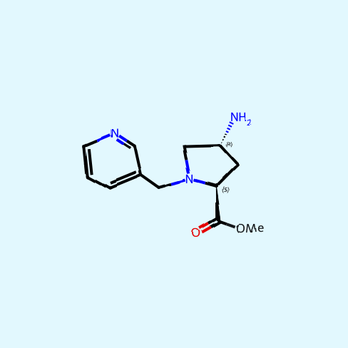 COC(=O)[C@@H]1C[C@@H](N)CN1Cc1cccnc1